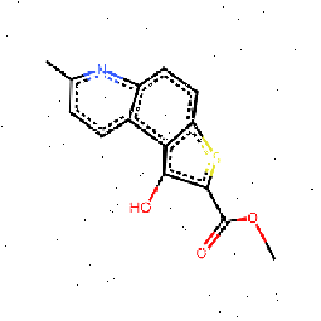 COC(=O)c1sc2ccc3nc(C)ccc3c2c1O